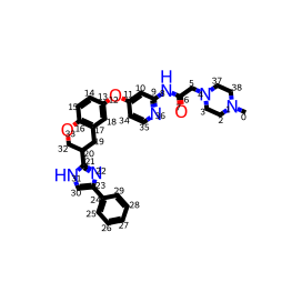 CN1CCN(CC(=O)Nc2cc(Oc3ccc4c(c3)CC(c3nc(-c5ccccc5)c[nH]3)CO4)ccn2)CC1